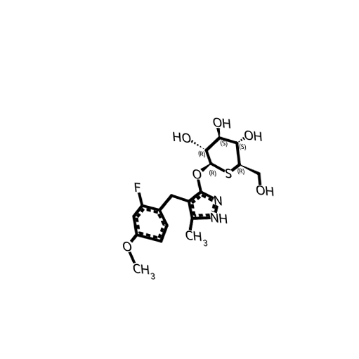 COc1ccc(Cc2c(O[C@@H]3S[C@H](CO)[C@@H](O)[C@H](O)[C@H]3O)n[nH]c2C)c(F)c1